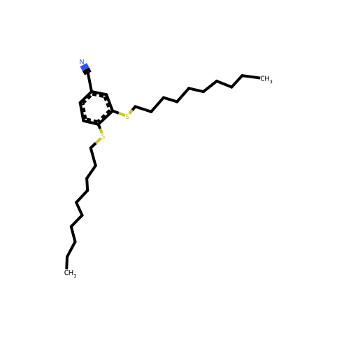 CCCCCCCCCCSc1ccc(C#N)cc1SCCCCCCCCCC